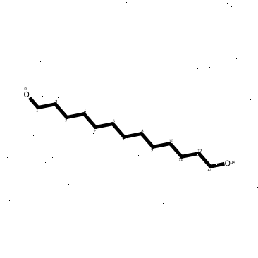 [O]CCCCCCCCCCCCC[O]